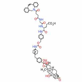 C[C@]12C=CC(=O)C=C1CC[C@@H]1[C@@H]2[C@@H](O)C[C@@]2(C)[C@H]1C[C@H]1OC(c3ccc(CC45CCC(NC(=O)OCc6ccc(NC(=O)[C@H](CCC(=O)O)NC(=O)CNC(=O)CCC(=O)N7Cc8ccccc8C#Cc8ccccc87)cc6)(CC4)CC5)cc3)O[C@]12C(=O)CO